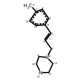 Cc1ccc(/C=C/CN2CC[N]CC2)cc1